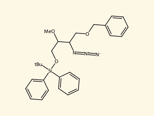 COC(CO[Si](c1ccccc1)(c1ccccc1)C(C)(C)C)C(COCc1ccccc1)N=[N+]=[N-]